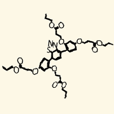 CCCOC(=O)CCOc1ccc(-c2ccc(-c3ccc(OCCC(=O)OCCC)cc3OCCC(=O)OCCC)c3snnc23)c(OCCC(=O)OCCC)c1